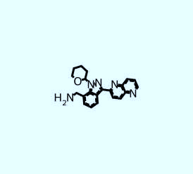 NCc1cccc2c(-c3ccc4ncccc4n3)nn(C3CCCCO3)c12